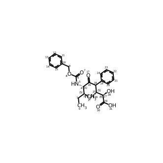 CC[C@H](C)[C@H](NC(=O)OCc1ccccc1)C(=O)C(c1ccccc1)[C@H](N)[C@@H](O)C(=O)O